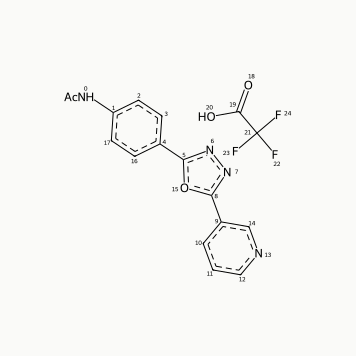 CC(=O)Nc1ccc(-c2nnc(-c3cccnc3)o2)cc1.O=C(O)C(F)(F)F